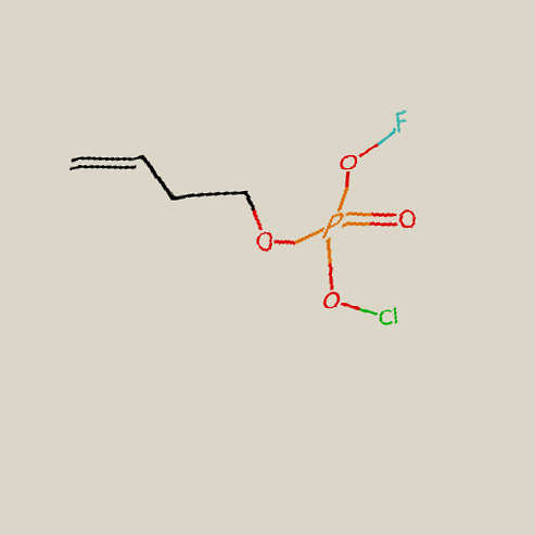 C=CCCOP(=O)(OF)OCl